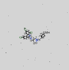 COc1ccc(CN2CCC(CN3CCN(c4ccc(Cl)cc4Cl)[C@H](c4ccc(Cl)cc4)C3)CC2)cc1